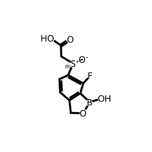 O=C(O)C[S@+]([O-])c1ccc2c(c1F)B(O)OC2